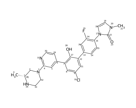 C[C@@H]1CN(c2cc(-c3cc(Cl)cc(-c4ccc(-n5ccn(C)c5=O)c(F)c4)c3O)ccn2)CCN1